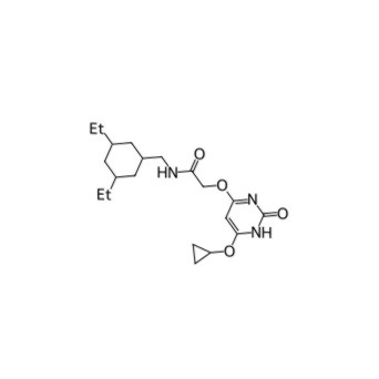 CCC1CC(CC)CC(CNC(=O)COc2cc(OC3CC3)[nH]c(=O)n2)C1